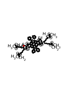 C=C(C)C(=O)OCCCCN(CCCCOC(=O)C(=C)C)C(=O)C(CC(F)(F)F)N1C(=O)c2cc(Oc3ccccc3)c3c4c(Oc5ccccc5)cc5c6c(cc(Oc7ccccc7)c(c7c(Oc8ccccc8)cc(c2c37)C1=O)c64)C(=O)N(C(CC(F)(F)F)C(=O)N(CCCCOC(=O)C(=C)C)CCCCOC(=O)C(=C)C)C5=O